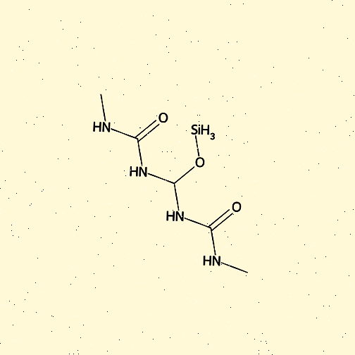 CNC(=O)NC(NC(=O)NC)O[SiH3]